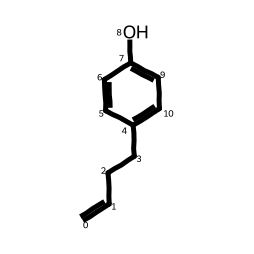 C=CCCc1ccc(O)cc1